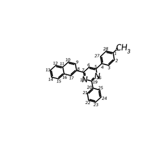 Cc1ccc(-c2cc(-c3ccc4ccccc4c3)nc(-c3ccccc3)n2)cc1